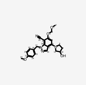 COCOc1cc(N2CCC(O)C2)c2cnn(Cc3ccc(OC)cc3)c2c1C#N